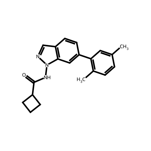 Cc1ccc(C)c(-c2ccc3cnn(NC(=O)C4CCC4)c3c2)c1